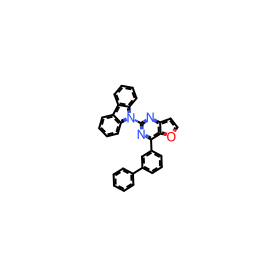 c1ccc(-c2cccc(-c3nc(-n4c5ccccc5c5ccccc54)nc4ccoc34)c2)cc1